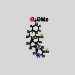 COC(=O)c1ccc2c(c1)CCC1C2C(F)CC2(C)C(c3cncc(F)c3)=CCC12